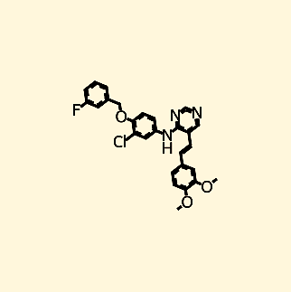 COc1ccc(C=Cc2cncnc2Nc2ccc(OCc3cccc(F)c3)c(Cl)c2)cc1OC